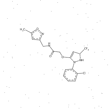 Cc1cc(CNC(=O)COC2=CC(C(F)(F)F)NN2c2ccccc2Cl)no1